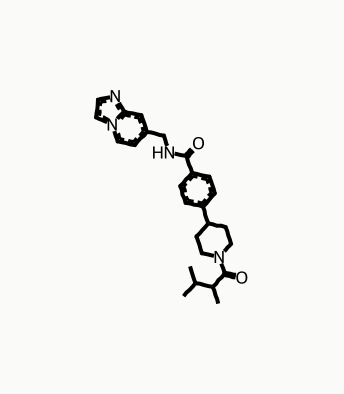 CC(C)C(C)C(=O)N1CCC(c2ccc(C(=O)NCc3ccn4ccnc4c3)cc2)CC1